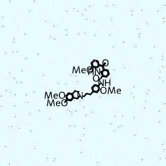 COc1cc(CCCN2CCc3cc(OC)c(OC)cc3C2)ccc1NC(=O)c1cccc2c(=O)c3cccc(OC)c3[nH]c12